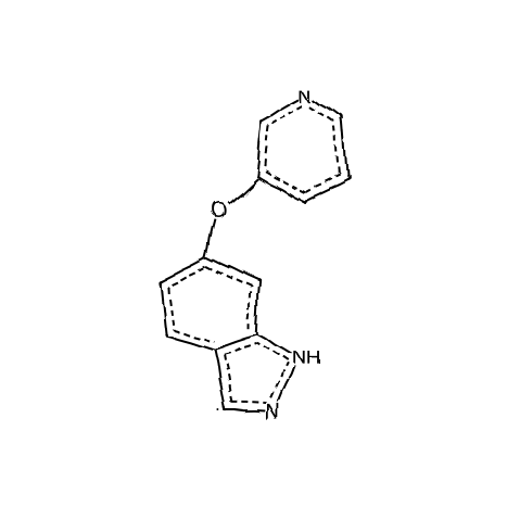 [c]1n[nH]c2cc(Oc3cccnc3)ccc12